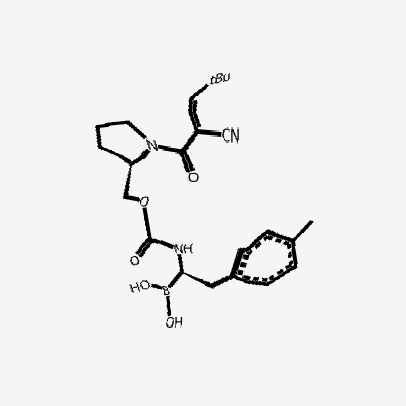 Cc1ccc(C[C@H](NC(=O)OC[C@H]2CCCN2C(=O)/C(C#N)=C/C(C)(C)C)B(O)O)cc1